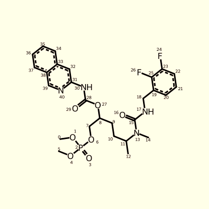 COP(=O)(OC)OCC(CCC(C)N(C)C(=O)NCc1cccc(F)c1F)OC(=O)Nc1cc2ccccc2cn1